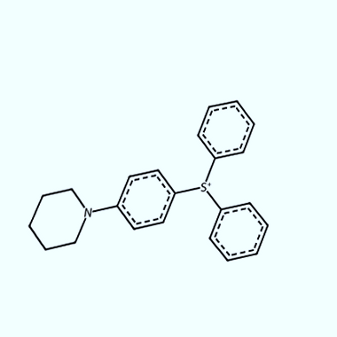 c1ccc([S+](c2ccccc2)c2ccc(N3CCCCC3)cc2)cc1